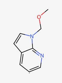 COCn1ccc2c[c]cnc21